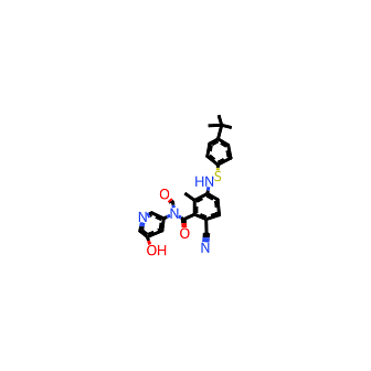 Cc1c(NSc2ccc(C(C)(C)C)cc2)ccc(C#N)c1C(=O)N(C=O)c1cncc(O)c1